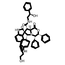 O=C1O[C@H](c2ccccc2)[C@H](c2ccccc2)N2[C@H]1[C@@H](C(=O)NC[C@H](O)c1ccccc1)[C@]1(C(=O)Nc3ccc(C#CCCO)cc31)[C@H]2c1ccc(O)cc1